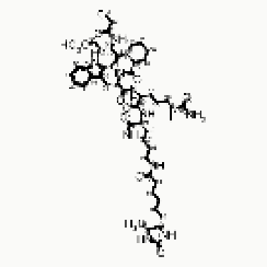 C[C@H]1NC(=O)N[C@H]1CCCCCC(=O)NCCCC[C@H](NC(=O)[C@H](CCCNC(N)=O)NC(=O)[C@H](Cc1c[nH]c2ccccc12)NC(=O)[C@@H]1CCCCN1C(=O)[C@H](CCC(=O)O)NC(=O)CCl)C(N)=O